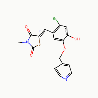 CN1C(=O)S/C(=C\c2cc(OCc3ccncc3)c(O)cc2Br)C1=O